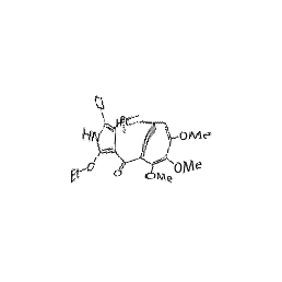 CCOc1[nH]c(Cl)c(Br)c1C(=O)c1c(C)cc(OC)c(OC)c1OC